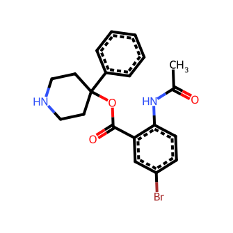 CC(=O)Nc1ccc(Br)cc1C(=O)OC1(c2ccccc2)CCNCC1